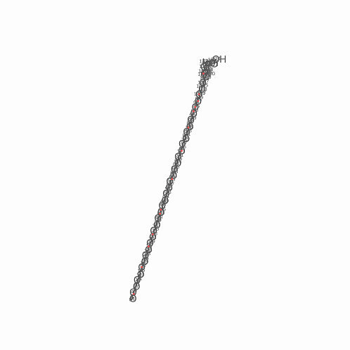 COCCOCCOCCOCCOCCOCCOCCOCCOCCOCCOCCOCCOCCOCCOCCOCCOCCOCCOCCOCCOCCOCCOCCOCCOCCOCCOCCOCCOCCOCCOCCOCCOCCOCCOCCOCCOc1c(I)cc(Oc2c(I)cc(CC(=O)O)cc2I)cc1I